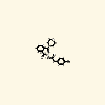 O=C(Cc1ccc(Br)cc1)Nn1nc(N2CCOCC2)c2ccccc2c1=O